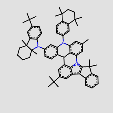 Cc1cc2c3c(c1)-n1c4c(c5cc(C(C)(C)C)cc(c51)B3c1ccc(N3c5ccc(C(C)(C)C)cc5C5(C)CCCCC35C)cc1N2c1ccc2c(c1)C(C)(C)CCC2(C)C)-c1ccccc1C4(C)C